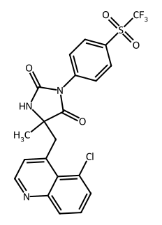 CC1(Cc2ccnc3cccc(Cl)c23)NC(=O)N(c2ccc(S(=O)(=O)C(F)(F)F)cc2)C1=O